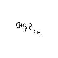 CCCC(=O)C(=O)On1ccnc1